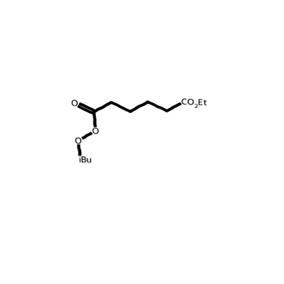 CCOC(=O)CCCCC(=O)OOC(C)CC